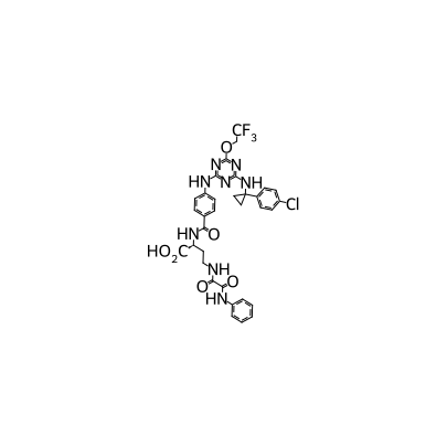 O=C(NCC[C@H](NC(=O)c1ccc(Nc2nc(NC3(c4ccc(Cl)cc4)CC3)nc(OCC(F)(F)F)n2)cc1)C(=O)O)C(=O)Nc1ccccc1